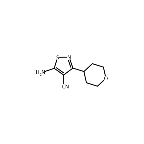 N#Cc1c(C2CCOCC2)nsc1N